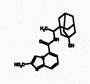 CC(NC(=O)c1cccc2nc(C(=O)O)cn12)C12CC3CC(CC(O)(C3)C1)C2